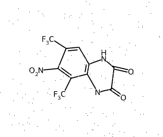 O=C1[N]c2c(cc(C(F)(F)F)c([N+](=O)[O-])c2C(F)(F)F)NC1=O